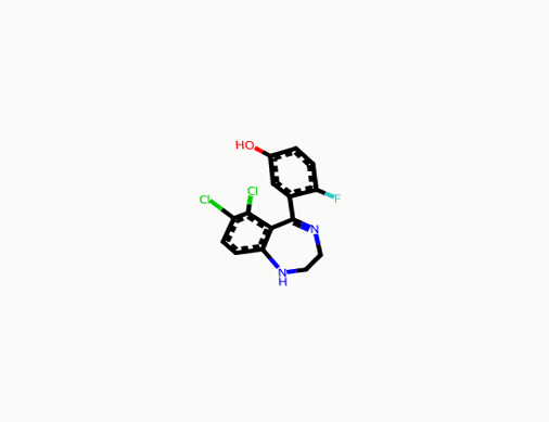 Oc1ccc(F)c(C2=NCCNc3ccc(Cl)c(Cl)c32)c1